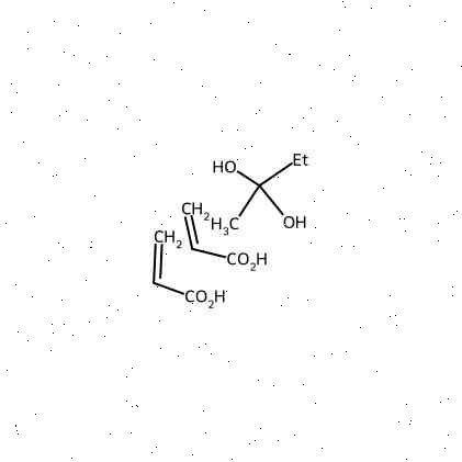 C=CC(=O)O.C=CC(=O)O.CCC(C)(O)O